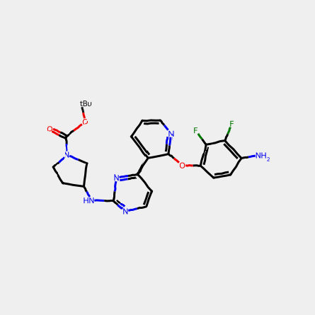 CC(C)(C)OC(=O)N1CCC(Nc2nccc(-c3cccnc3Oc3ccc(N)c(F)c3F)n2)C1